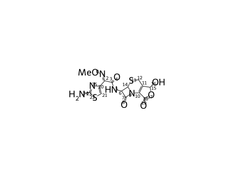 CO/N=C(/C(=O)NC1C(=O)N2C3=C(CSC12)C(O)OC3=O)c1csc(N)n1